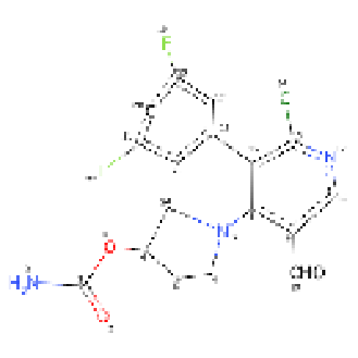 NC(=O)OC1CCN(c2c(C=O)cnc(Cl)c2-c2cc(F)cc(F)c2)C1